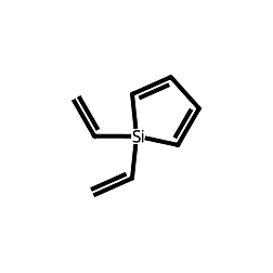 C=C[Si]1(C=C)C=CC=C1